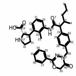 CCCC(C)C(C(=O)Nc1cccc(C2CCN[C@@H]2C(=O)O)c1C)c1ccc(CN2N=C(c3ccccc3)OCC2=O)cc1